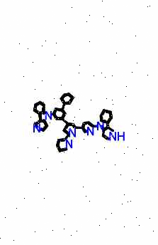 C1=Cc2c(c3ccccc3n2-c2ccc(-c3cc(-c4cc(-c5ccccc5)cc(-n5c6ccccc6c6cnccc65)c4)cc(-c4ccccn4)n3)cn2)CN1